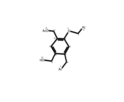 CC(=O)COc1cc(CC(C)=O)c(CO)cc1COC(C)=O